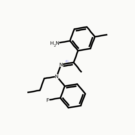 CCCN(/N=C(\C)c1cc(C)ccc1N)c1ccccc1F